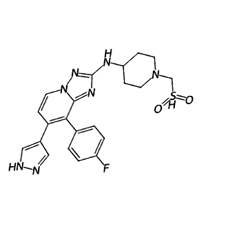 O=[SH](=O)CN1CCC(Nc2nc3c(-c4ccc(F)cc4)c(-c4cn[nH]c4)ccn3n2)CC1